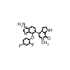 Cn1cc(-c2ccc3c(ncn3N)c2Oc2ccc(F)cc2F)c2cc[nH]c2c1=O